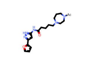 CC(=O)N1CCCN(CCCCC(=O)Nc2cc(-c3ccco3)n[nH]2)CC1